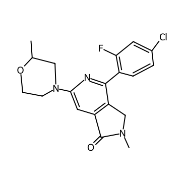 CC1CN(c2cc3c(c(-c4ccc(Cl)cc4F)n2)CN(C)C3=O)CCO1